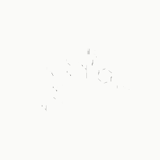 CC(C)CC(NC(=O)c1ccc(C(C)(C)C)cc1)C(=O)N1CCC2C1C(=O)CN2C(=O)C1CCCCN1